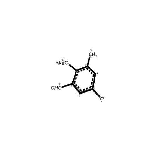 COc1c(C)cc(Cl)cc1C=O